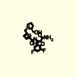 NC(=O)c1oc2c(F)cc(F)cc2c1NC(=O)c1ccc(CN2CCC[C@H]2CO)o1